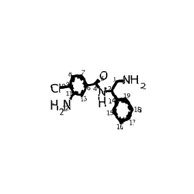 NCC(NC(=O)c1ccc(Cl)c(N)c1)c1ccccc1